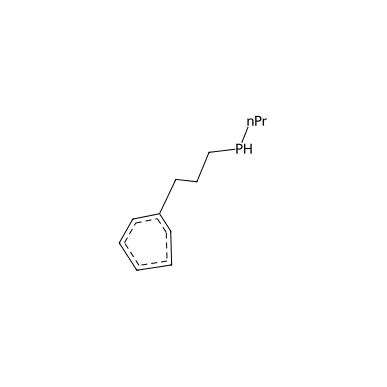 CCCPCCCc1ccccc1